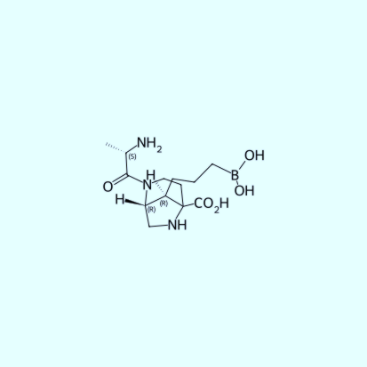 C[C@H](N)C(=O)N1CCC2(C(=O)O)NC[C@H]1[C@H]2CCCB(O)O